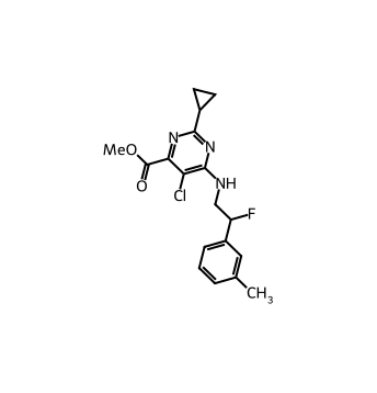 COC(=O)c1nc(C2CC2)nc(NCC(F)c2cccc(C)c2)c1Cl